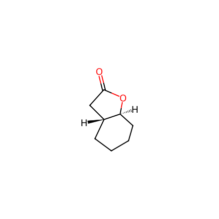 O=C1C[C@H]2CCCC[C@@H]2O1